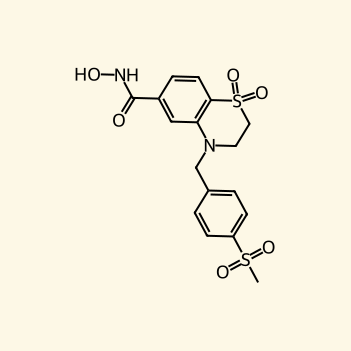 CS(=O)(=O)c1ccc(CN2CCS(=O)(=O)c3ccc(C(=O)NO)cc32)cc1